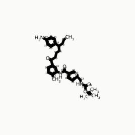 CCCC(CCCC(=O)c1ccc(C)c(NC(=O)c2ccc(CNC(=O)OC(C)(C)C)nc2)c1)c1ccc(N)cc1